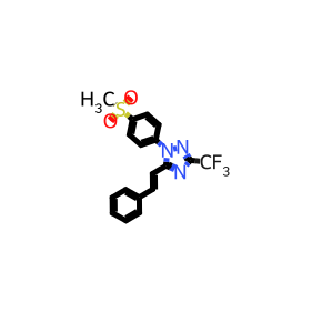 CS(=O)(=O)c1ccc(-n2nc(C(F)(F)F)nc2C=Cc2ccccc2)cc1